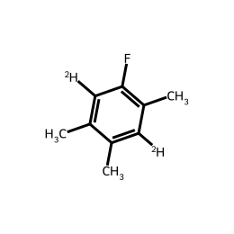 [2H]c1c(C)c(C)c([2H])c(F)c1C